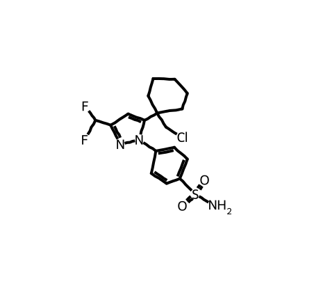 NS(=O)(=O)c1ccc(-n2nc(C(F)F)cc2C2(CCl)CCCCC2)cc1